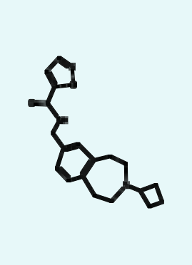 O=C(NCc1ccc2c(c1)CCN(C1CCC1)CC2)c1ccno1